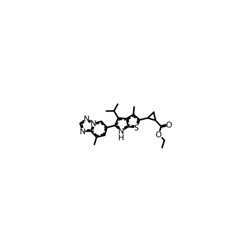 CCOC(=O)C1CC1c1sc2[nH]c(-c3cc(C)c4ncnn4c3)c(C(C)C)c2c1C